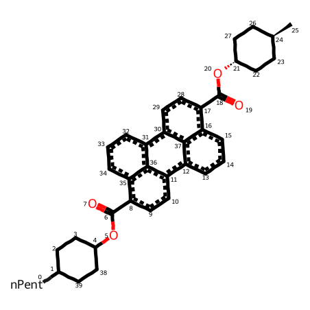 CCCCCC1CCC(OC(=O)c2ccc3c4cccc5c(C(=O)O[C@H]6CC[C@H](C)CC6)ccc(c6cccc2c36)c54)CC1